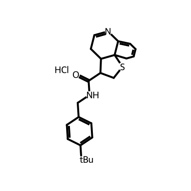 CC(C)(C)c1ccc(CNC(=O)C2CSC34CC=CC=C3N=CCC24)cc1.Cl